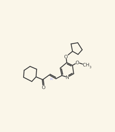 COc1cnc(/C=C/C(=O)C2CCCCC2)cc1OC1CCCC1